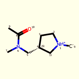 [CH2-][NH+]1CC[C@@H](CN(C)C(C)=O)C1